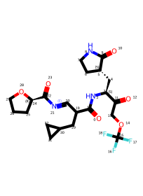 O=C(N[C@@H](C[C@@H]1CCNC1=O)C(=O)COC(F)(F)F)C(/C=N/C(=O)[C@H]1CCCO1)CC1CC1